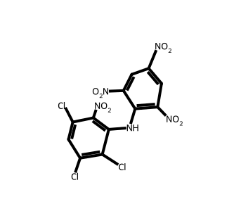 O=[N+]([O-])c1cc([N+](=O)[O-])c(Nc2c(Cl)c(Cl)cc(Cl)c2[N+](=O)[O-])c([N+](=O)[O-])c1